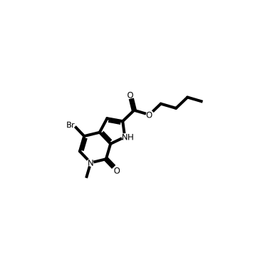 CCCCOC(=O)c1cc2c(Br)cn(C)c(=O)c2[nH]1